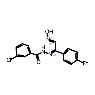 CCc1ccc(C(/C=N/O)=N/NC(=O)c2cccc(Cl)c2)cc1